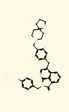 COc1ccc(CN2C(=O)c3cccc4c(Cc5ccc(CN6CCC7(CCCO7)CC6)cc5)cnc2c34)cc1